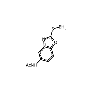 BSc1nc2cc(NC(C)=O)ccc2o1